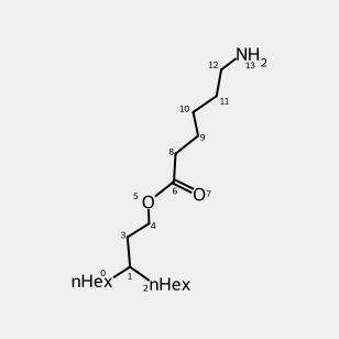 CCCCCCC(CCCCCC)CCOC(=O)CCCCCN